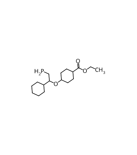 CCOC(=O)C1CCC(OC(CP)C2CCCCC2)CC1